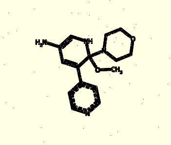 COC1(N2CCOCC2)NC=C(N)C=C1c1ccncc1